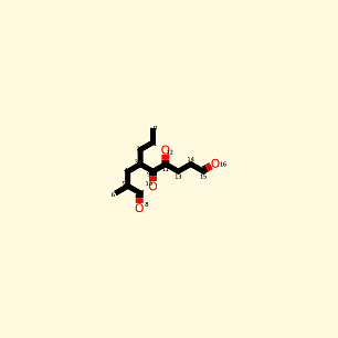 CCCC(CC(C)C=O)C(=O)C(=O)CCC=O